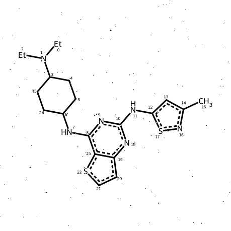 CCN(CC)C1CCC(Nc2nc(Nc3cc(C)ns3)nc3ccsc23)CC1